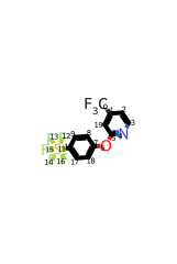 FC(F)(F)c1ccnc(Oc2ccc(S(F)(F)(F)(F)F)cc2)c1